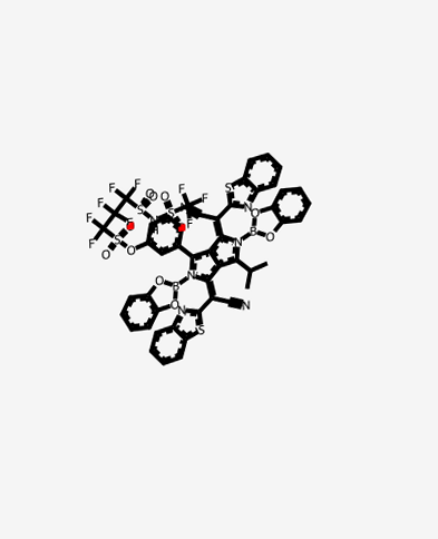 CC(C)c1c2/c(=C(\C#N)c3nc4ccccc4s3)n(B3Oc4ccccc4O3)c(-c3cccc(OS(=O)(=O)C(F)(F)C(F)(F)C(F)(F)S(=O)(=O)NS(=O)(=O)C(F)(F)F)c3)c2/c(=C(\C#N)c2nc3ccccc3s2)n1B1Oc2ccccc2O1